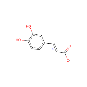 [O]C(=O)/C=C/c1ccc(O)c(O)c1